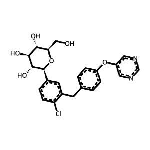 OC[C@H]1O[C@@H](c2ccc(Cl)c(Cc3ccc(Oc4cncnc4)cc3)c2)[C@H](O)[C@@H](O)[C@@H]1O